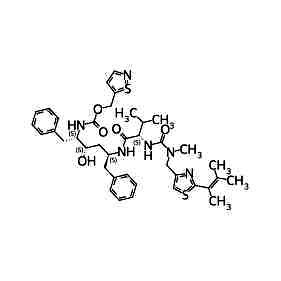 CC(C)=C(C)c1nc(CN(C)C(=O)N[C@H](C(=O)N[C@@H](Cc2ccccc2)C[C@H](O)[C@H](Cc2ccccc2)NC(=O)OCc2ccns2)C(C)C)cs1